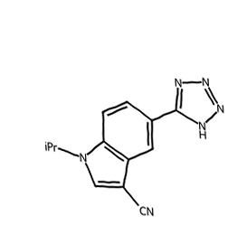 CC(C)n1cc(C#N)c2cc(-c3nnn[nH]3)ccc21